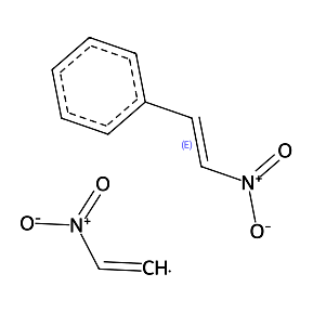 O=[N+]([O-])/C=C/c1ccccc1.[CH]=C[N+](=O)[O-]